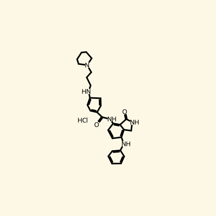 Cl.O=C(Nc1ccc(Nc2ccccc2)c2c1C(=O)NC2)c1ccc(NCCCN2CCCCC2)cc1